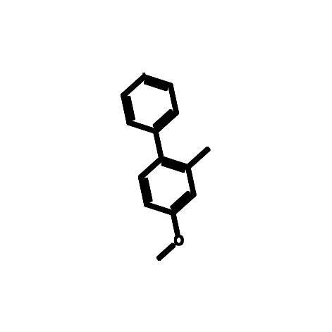 COc1ccc(-c2cc[c]cc2)c(C)c1